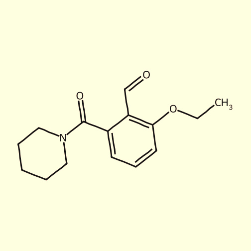 CCOc1cccc(C(=O)N2CCCCC2)c1C=O